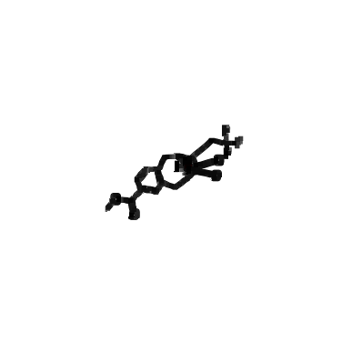 COC(=O)c1ccc2c(c1)CC1CCC(C2)C12CN(CC(F)(F)F)S(=O)(=O)N2